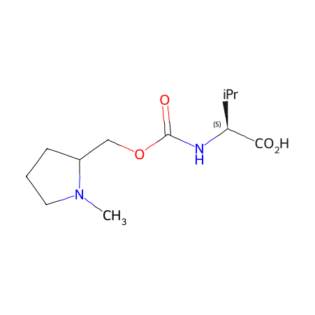 CC(C)[C@H](NC(=O)OCC1CCCN1C)C(=O)O